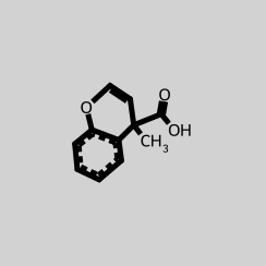 CC1(C(=O)O)C=COc2ccccc21